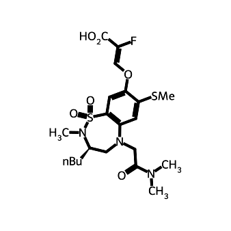 CCCC[C@@H]1CN(CC(=O)N(C)C)c2cc(SC)c(O/C=C(\F)C(=O)O)cc2S(=O)(=O)N1C